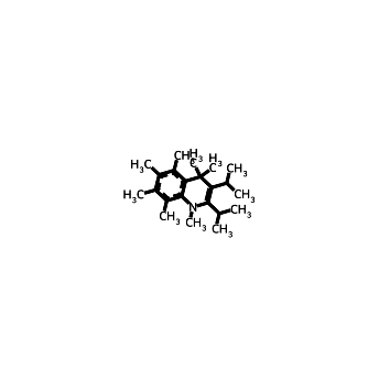 Cc1c(C)c(C)c2c(c1C)N(C)C(C(C)C)=C(C(C)C)C2(C)C